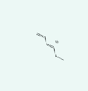 C=CC=CCC.[Rh]